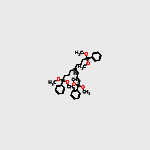 CO[Si](CCC[SiH](CCC[Si](OC)(OC)c1ccccc1)CCC[Si](OC)(OC)c1ccccc1)(OC)c1ccccc1